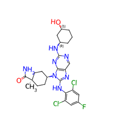 C[C@]1(C(N)=O)CC[C@@H](n2c(Nc3c(Cl)cc(F)cc3Cl)nc3cnc(N[C@@H]4CCC[C@H](O)C4)nc32)CC1